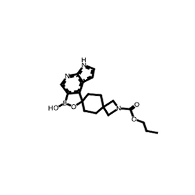 CCCOC(=O)N1CC2(CCC3(CC2)OB(O)c2cnc4[nH]ccc4c23)C1